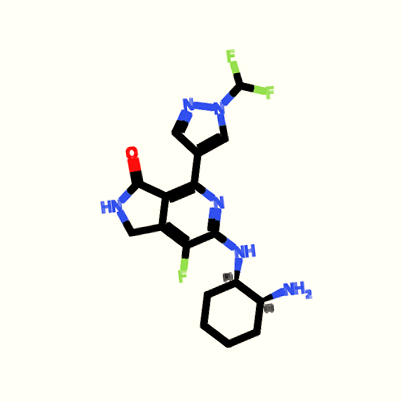 N[C@H]1CCCC[C@H]1Nc1nc(-c2cnn(C(F)F)c2)c2c(c1F)CNC2=O